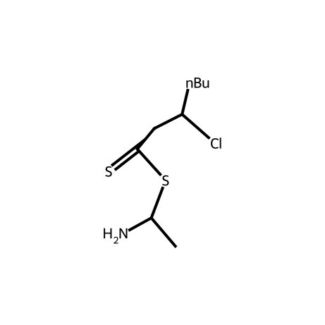 CCCCC(Cl)CC(=S)SC(C)N